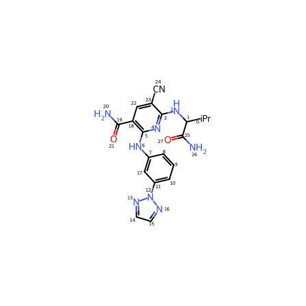 CC(C)C(Nc1nc(Nc2cccc(-n3nccn3)c2)c(C(N)=O)cc1C#N)C(N)=O